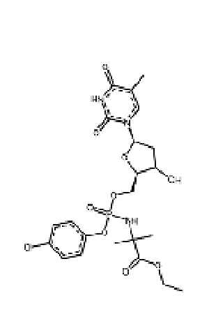 CCOC(=O)C(C)(C)NP(=O)(OC[C@H]1O[C@@H](n2cc(C)c(=O)[nH]c2=O)CC1O)Oc1ccc(Cl)cc1